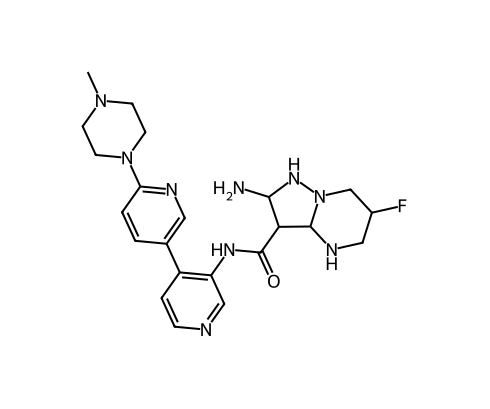 CN1CCN(c2ccc(-c3ccncc3NC(=O)C3C(N)NN4CC(F)CNC34)cn2)CC1